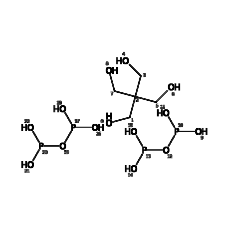 OCC(CO)(CO)CO.OP(O)OP(O)O.OP(O)OP(O)O